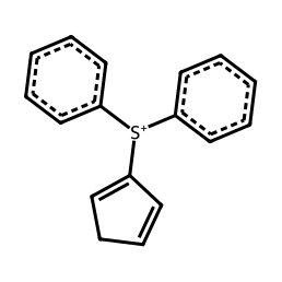 C1=CC([S+](c2ccccc2)c2ccccc2)=CC1